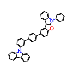 c1ccc(-n2c3ccccc3c3c4cc(-c5ccc(-c6cccc(-n7c8ccccc8c8ccccc87)c6)cc5)ccc4oc32)cc1